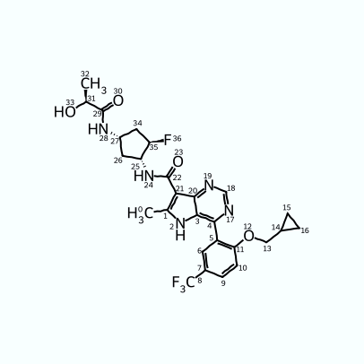 Cc1[nH]c2c(-c3cc(C(F)(F)F)ccc3OCC3CC3)ncnc2c1C(=O)N[C@@H]1C[C@H](NC(=O)[C@H](C)O)C[C@H]1F